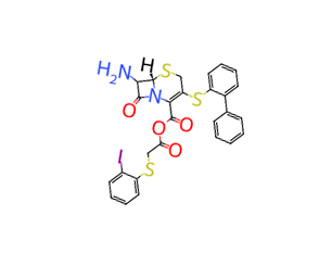 NC1C(=O)N2C(C(=O)OC(=O)CSc3ccccc3I)=C(Sc3ccccc3-c3ccccc3)CS[C@@H]12